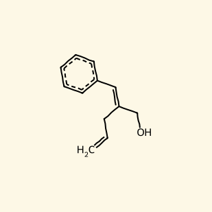 C=CC/C(=C\c1ccccc1)CO